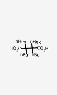 CCCCCCC(CCCC)(C(=O)O)C(CCCC)(CCCCCC)C(=O)O